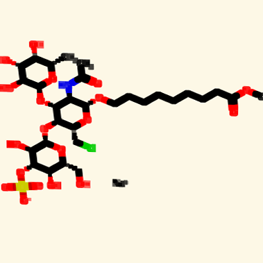 COC(=O)CCCCCCCCO[C@@H]1O[C@H](CCl)[C@@H](O[C@@H]2O[C@H](CO)[C@H](O)[C@H](OS(=O)(=O)[O-])[C@H]2O)[C@H](O[C@@H]2O[C@@H](C)[C@@H](O)[C@@H](O)[C@@H]2O)[C@H]1NC(C)=O.[Na+]